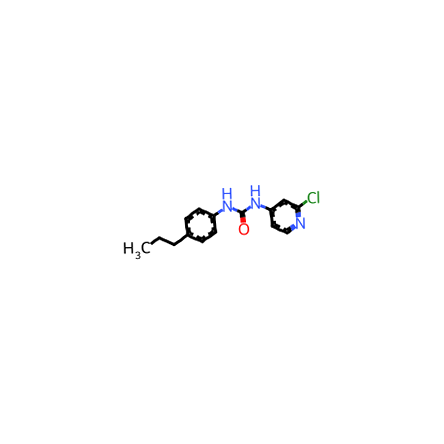 CCCc1ccc(NC(=O)Nc2ccnc(Cl)c2)cc1